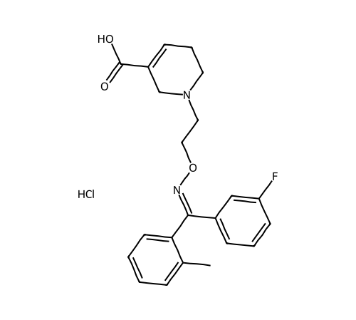 Cc1ccccc1/C(=N/OCCN1CCC=C(C(=O)O)C1)c1cccc(F)c1.Cl